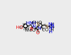 CO[C@]1(NC(=O)C(NC=O)c2ccc(O)cc2)C(=O)N2C(C(=O)O)=C(CSc3nnn[nH]3)CSC21